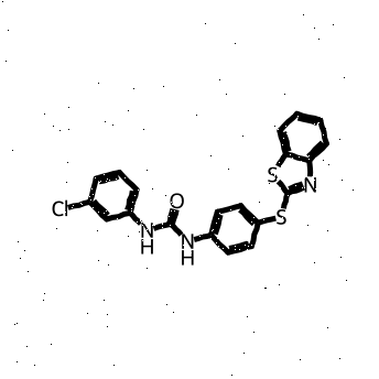 O=C(Nc1ccc(Sc2nc3ccccc3s2)cc1)Nc1cccc(Cl)c1